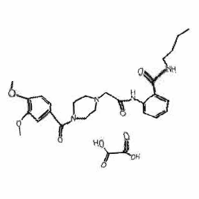 CCCCNC(=O)c1ccccc1NC(=O)CN1CCN(C(=O)c2ccc(OC)c(OC)c2)CC1.O=C(O)C(=O)O